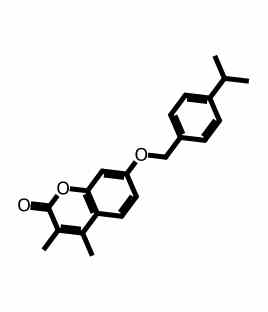 Cc1c(C)c2ccc(OCc3ccc(C(C)C)cc3)cc2oc1=O